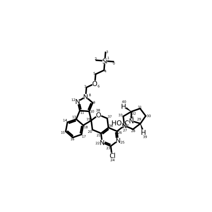 C[Si](C)(C)CCOCn1cc2c(n1)-c1ccccc1C21Cc2nc(Cl)nc(N3C[C@H]4CC[C@@H](C3)N4C(=O)O)c2CO1